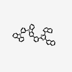 c1cc(-c2ccc3c(c2)c2ccccc2n3-c2cccc(-n3c4ccccc4c4ccccc43)c2)cc(-c2nc(-c3ccc4ccccc4c3)cc(-c3cccc4ccccc34)n2)c1